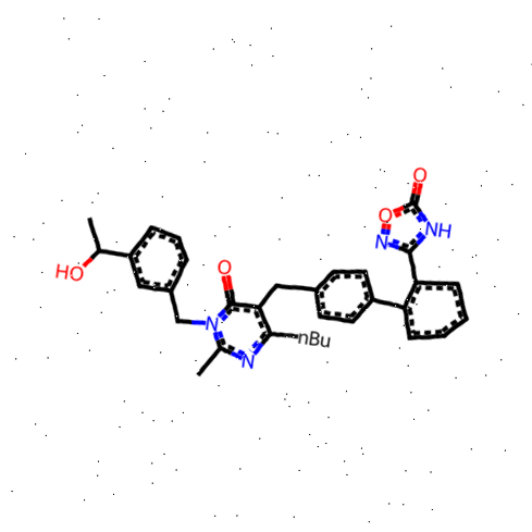 CCCCc1nc(C)n(Cc2cccc(C(C)O)c2)c(=O)c1Cc1ccc(-c2ccccc2-c2noc(=O)[nH]2)cc1